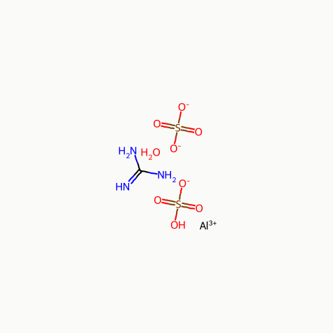 N=C(N)N.O.O=S(=O)([O-])O.O=S(=O)([O-])[O-].[Al+3]